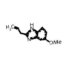 C=CCc1nc2cc(OC)ccc2[nH]1